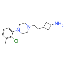 Cc1cccc(N2CCN(CCC3CC(N)C3)CC2)c1Cl